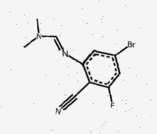 CN(C)C=Nc1cc(Br)cc(F)c1C#N